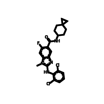 Cn1c(Nc2c(Cl)cccc2Cl)nc2cc(C(=O)NC3CCC4(CC3)CC4)c(F)cc21